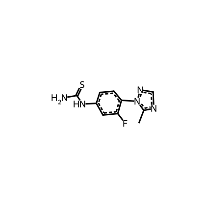 Cc1ncnn1-c1ccc(NC(N)=S)cc1F